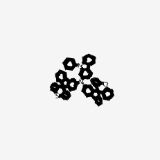 c1ccc(-n2c3ccccc3c3ccc(N(c4ccc5c(c4)-c4ccccc4C54c5ccccc5Sc5ccccc54)c4ccc5c(c4)C4(c6ccccc6Oc6ccccc64)c4ccccc4-5)cc32)cc1